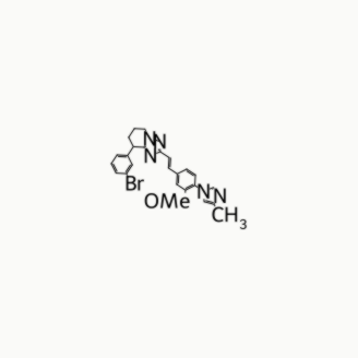 COc1cc(C=Cc2nc3n(n2)CCCC3c2cccc(Br)c2)ccc1-n1cnc(C)c1